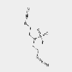 [N-]=[N+]=NCCN(CCN=[N+]=[N-])S(=O)(=O)F